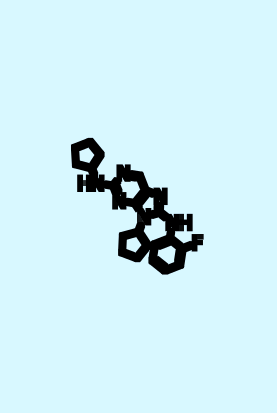 Fc1ccccc1Nc1nc2cnc(NC3CCCC3)nc2n1C1CCCC1